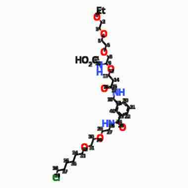 CCOCCOCCOCC(NC(=O)O)OCCC(=O)NCc1cccc(C(=O)NCCOCCOCCCCCCCl)c1